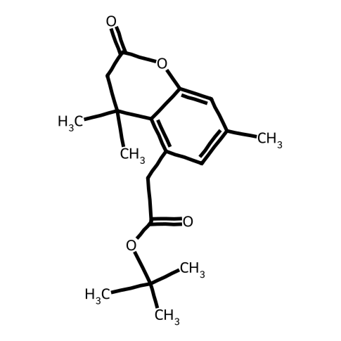 Cc1cc(CC(=O)OC(C)(C)C)c2c(c1)OC(=O)CC2(C)C